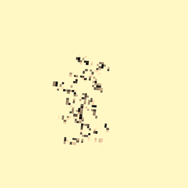 CCC1(COC(=O)c2cc(OC)c(OC)c(OC)c2)COC2(CC(C)(CC)N(OC(=O)c3cc(OC)c(OC)c(OC)c3)C(C)(CC)C2C)OC1